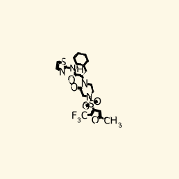 Cc1cc(S(=O)(=O)N2CCN([C@@H](CC3CCCCC3)C(=O)Nc3nccs3)C(=O)C2)c(C(F)(F)F)o1